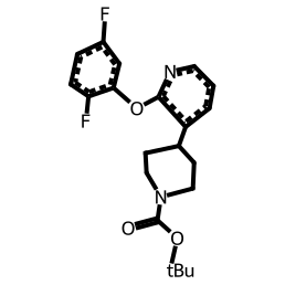 CC(C)(C)OC(=O)N1CCC(c2cccnc2Oc2cc(F)ccc2F)CC1